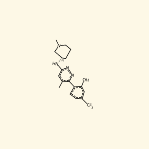 Cc1cc(N[C@H]2CCCN(C)C2)nnc1-c1ccc(C(F)(F)F)cc1O